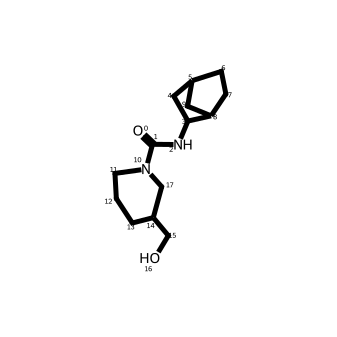 O=C(NC1CC2CCC1C2)N1CCCC(CO)C1